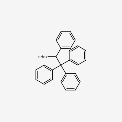 CCCCCCC(c1ccccc1)C(c1ccccc1)(c1ccccc1)c1ccccc1